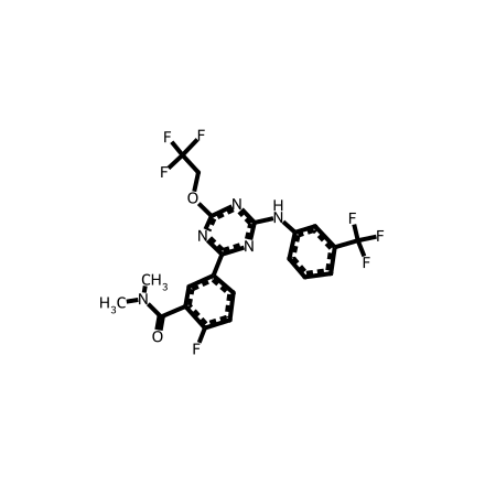 CN(C)C(=O)c1cc(-c2nc(Nc3cccc(C(F)(F)F)c3)nc(OCC(F)(F)F)n2)ccc1F